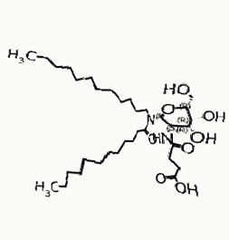 CCCCCCCCCCCCN(C(=O)CCCCCCCCCCC)[C@@H]1O[C@H](CO)[C@H](O)[C@H](O)[C@@H]1NC(=O)CCC(=O)O